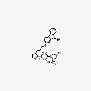 CC(C)(C)[C@H](NC(=O)C1SC=CC1/C=C/COc1ccc2c(c1)C(=N)c1ccccc1-2)C(=O)N1C[C@H](O)C[C@H]1C(=O)O